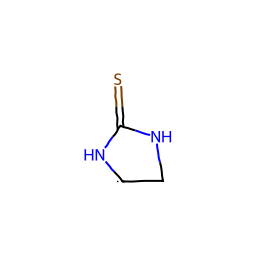 S=C1N[CH]CN1